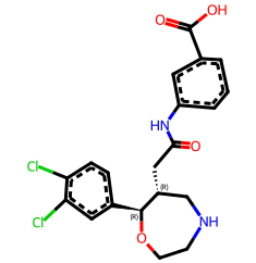 O=C(C[C@@H]1CNCCO[C@H]1c1ccc(Cl)c(Cl)c1)Nc1cccc(C(=O)O)c1